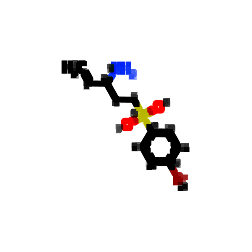 C=CC(N)CCS(=O)(=O)c1ccc(Br)cc1